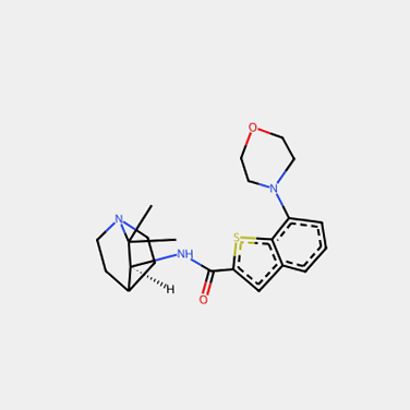 CC1(C)[C@@H](NC(=O)c2cc3cccc(N4CCOCC4)c3s2)C2CCN1CC2